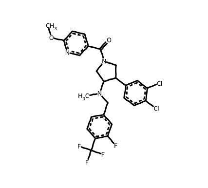 COc1ccc(C(=O)N2CC(c3ccc(Cl)c(Cl)c3)C(N(C)Cc3ccc(C(F)(F)F)c(F)c3)C2)cn1